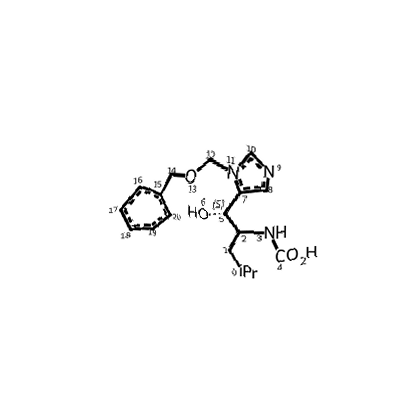 CC(C)CC(NC(=O)O)[C@H](O)c1cncn1COCc1ccccc1